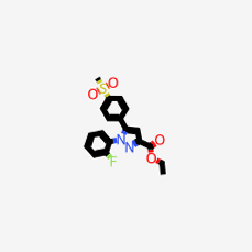 CCOC(=O)c1cc(-c2ccc(S(C)(=O)=O)cc2)n(-c2ccccc2F)n1